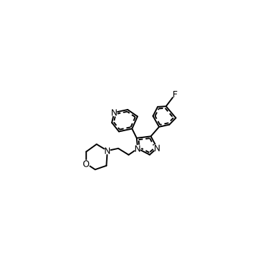 Fc1ccc(-c2ncn(CCN3CCOCC3)c2-c2ccncc2)cc1